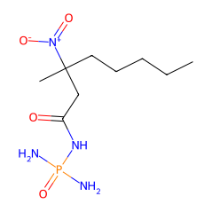 CCCCCC(C)(CC(=O)NP(N)(N)=O)[N+](=O)[O-]